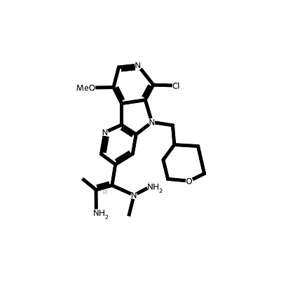 COc1cnc(Cl)c2c1c1ncc(/C(=C(\C)N)N(C)N)cc1n2CC1CCOCC1